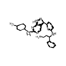 NCCC(Nc1cccc(-c2n[nH]c3nc(NC4CCC(N)CC4)ncc23)n1)c1ccccc1